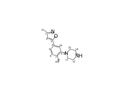 Cc1cc(-c2ccc(F)c(N3CCNCC3)c2)on1